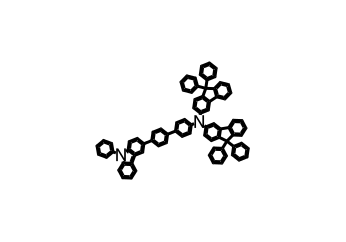 c1ccc(-n2c3ccccc3c3cc(-c4ccc(-c5ccc(N(c6ccc7c(c6)-c6ccccc6C7(c6ccccc6)c6ccccc6)c6ccc7c(c6)-c6ccccc6C7(c6ccccc6)c6ccccc6)cc5)cc4)ccc32)cc1